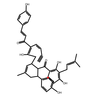 C#C/C=C\C(C(=O)/C=C/c1ccc(O)cc1)=C(\O)CC1C=C(C)CC(c2ccc(O)cc2)C1C(=O)c1ccc(O)c(CC=C(C)C)c1O